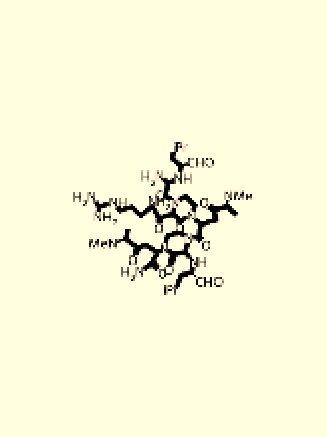 CN[C@@H](C)C(=O)CC(C(N)=O)N1CCN(C(=O)C(CC(=O)[C@H](C)NC)N2CCN(C(=O)C(N)N[C@H](C=O)CC(C)C)C(C(=O)[C@@H](N)CCCNC(N)N)C2=O)C(N[C@H](C=O)CC(C)C)C1=O